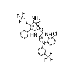 NC(=O)[C@H](CCC(F)(F)F)[C@@H](C(=O)N[C@H]1CN(c2cccc(C(F)(F)F)c2)c2cccc(Cl)c2NC1=O)c1ccccc1